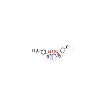 Cc1ccc(S(=O)(=O)NC(=O)NS(=O)(=O)c2ccc(C)cc2)cc1